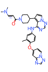 Cc1cc(Nc2ncnn3ccc(C4CCN(C(=O)/C=C/N(C)C)CC4)c23)ccc1Oc1ccn2ncnc2c1